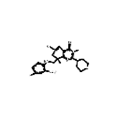 Cn1c(C2CCOCC2)nc2c(c1=O)C=C(Br)CC2(C)CNc1ccc(F)cc1C(=O)O